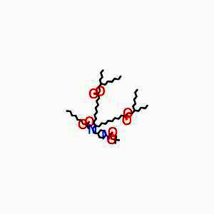 CCCCCCOC(=O)CN(CC1CCN(C(=O)OC(C)(C)C)CC1)C(CCCCCCCCC(=O)OCC(CCCC)CCCCCC)CCCCCCCCC(=O)OCC(CCCC)CCCCCC